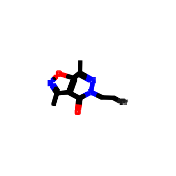 Cc1nn(CCC(C)C)c(=O)c2c(C)noc12